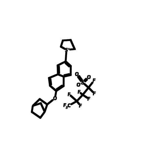 O=S(=O)([O-])C(F)(F)C(F)(F)C(F)(F)C(F)(F)F.c1cc2cc([S+]3CCCC3)ccc2cc1OC1CC2CCC1C2